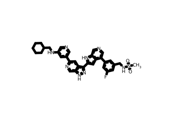 CS(=O)(=O)NCc1cc(F)cc(-c2cncc3[nH]c(-c4n[nH]c5cnc(-c6cncc(NCC7CCCCC7)c6)cc45)cc23)c1